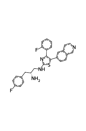 N[C@@H](CNc1nc(-c2ccccc2F)c(-c2ccc3cnccc3c2)s1)Cc1ccc(F)cc1